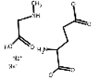 CNCC(=O)O.NC(CCC(=O)[O-])C(=O)[O-].[Na+].[Na+]